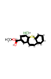 COC(=O)c1ccc2c(c1)C=Cc1ccccc1S2.Cl